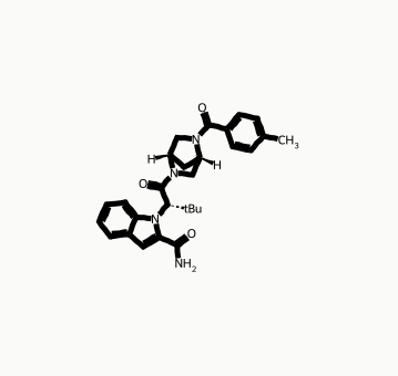 Cc1ccc(C(=O)N2C[C@@H]3C[C@H]2CN3C(=O)[C@@H](n2c(C(N)=O)cc3ccccc32)C(C)(C)C)cc1